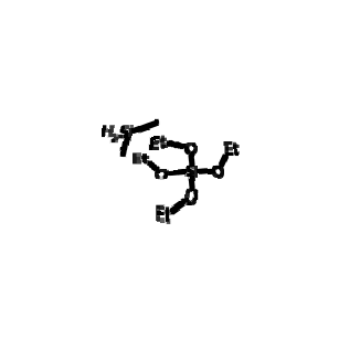 CCO[Si](OCC)(OCC)OCC.C[SiH2]C